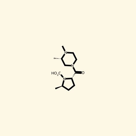 C[C@@H]1CC[C@@H](C(=O)N2CCN(C)[C@@H](C)C2)N1C(=O)O